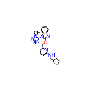 Cn1nnnc1-n1c(OCc2cccc(NCC3CCCC3)n2)nc2ccccc21